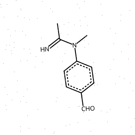 CC(=N)N(C)c1ccc(C=O)cc1